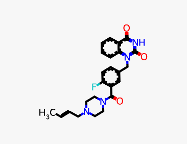 C/C=C/CN1CCN(C(=O)c2cc(Cn3c(=O)[nH]c(=O)c4ccccc43)ccc2F)CC1